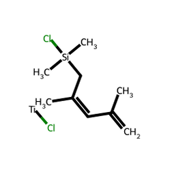 C=C(C)C=C(C)C[Si](C)(C)Cl.[Cl][Ti]